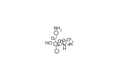 CC(C)C(NC(=O)Cn1c(-c2ccccc2)ccc(C(=O)Cc2ccc(N)cc2)c1=O)C(=O)C(F)(F)F.Cl